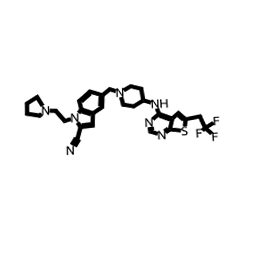 N#Cc1cc2cc(CN3CCC(Nc4ncnc5sc(CC(F)(F)F)cc45)CC3)ccc2n1CCN1CCCC1